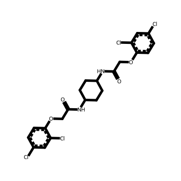 O=C(COc1ccc(Cl)cc1Cl)NC1CCC(NC(=O)COc2ccc(Cl)cc2Cl)CC1